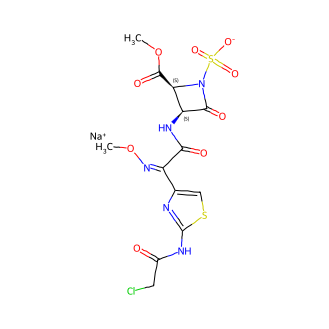 CON=C(C(=O)N[C@@H]1C(=O)N(S(=O)(=O)[O-])[C@@H]1C(=O)OC)c1csc(NC(=O)CCl)n1.[Na+]